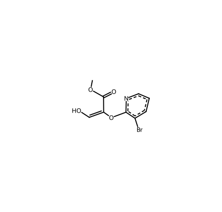 COC(=O)C(=CO)Oc1ncccc1Br